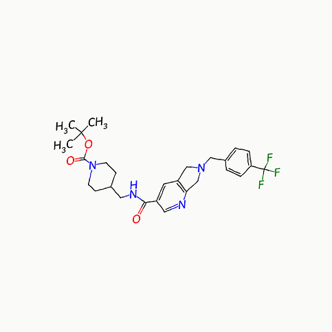 CC(C)(C)OC(=O)N1CCC(CNC(=O)c2cnc3c(c2)CN(Cc2ccc(C(F)(F)F)cc2)C3)CC1